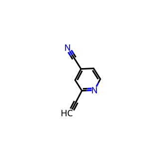 C#Cc1cc(C#N)ccn1